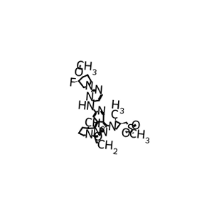 C=CC(=O)N1CCCC1(C)c1nnc(N2C[C@H](CS(C)(=O)=O)[C@H]2C)c2cnc(Nc3ccnc(N4CC[C@@H](OC)[C@@H](F)C4)n3)cc12